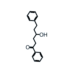 O=C(CCC(O)CCc1ccccc1)c1ccccc1